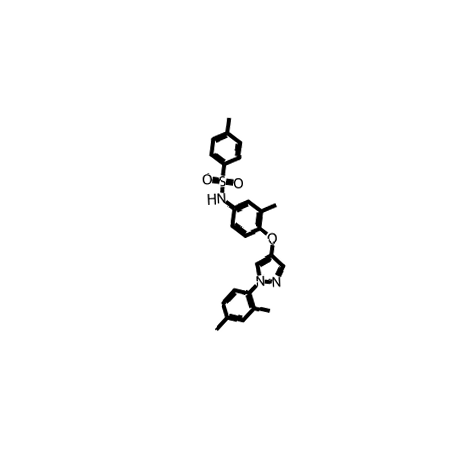 Cc1ccc(S(=O)(=O)Nc2ccc(Oc3cnn(-c4ccc(C)cc4C)c3)c(C)c2)cc1